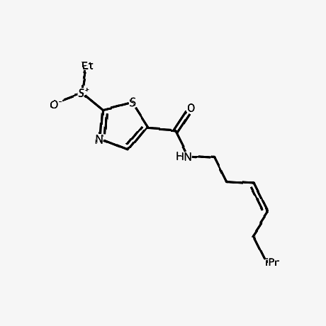 CC[S+]([O-])c1ncc(C(=O)NCC/C=C\CC(C)C)s1